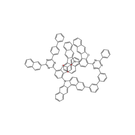 c1ccc(-c2ccc(-c3nc(-c4ccc5ccccc5c4)nc(-c4ccc(-n5c6cc7ccccc7cc6c6c7ccc(-c8cccc(-c9cccc(-c%10nc(-c%11ccccc%11)nc(-c%11ccc(-n%12c%13ccccc%13c%13cc%14ccccc%14cc%13%12)c%12c%11oc%11cc%13ccccc%13cc%11%12)n%10)c9)c8)cc7ccc65)c5c4oc4c6ccccc6ccc45)n3)cc2)cc1